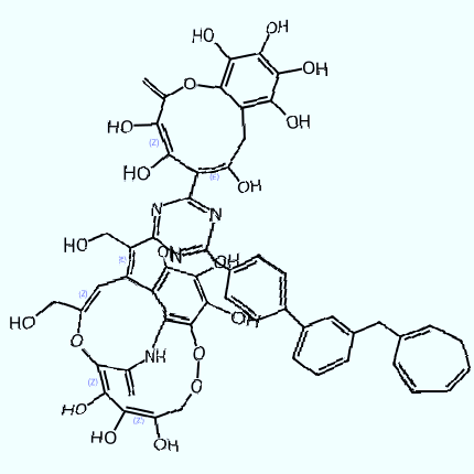 C=C1Oc2c(O)c(O)c(O)c(O)c2C/C(O)=C(c2nc(/C(CO)=C3/C=C(/CO)O/C4=C(O)/C(O)=C(/O)COOc5c(O)c(O)c(O)c3c5NC4=C)nc(-c3ccc(-c4cccc(CC5=CCC=CC=C5)c4)cc3)n2)\C(O)=C/1O